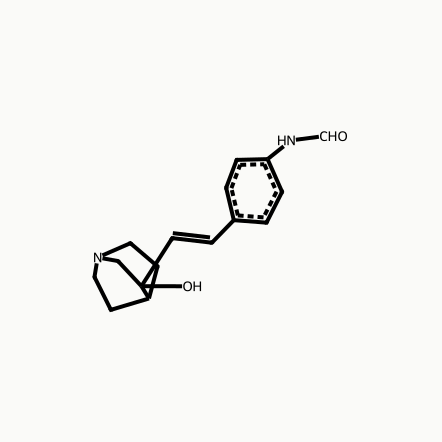 O=CNc1ccc(C=CC2(O)CN3CCC2CC3)cc1